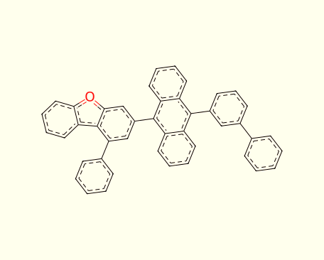 c1ccc(-c2cccc(-c3c4ccccc4c(-c4cc(-c5ccccc5)c5c(c4)oc4ccccc45)c4ccccc34)c2)cc1